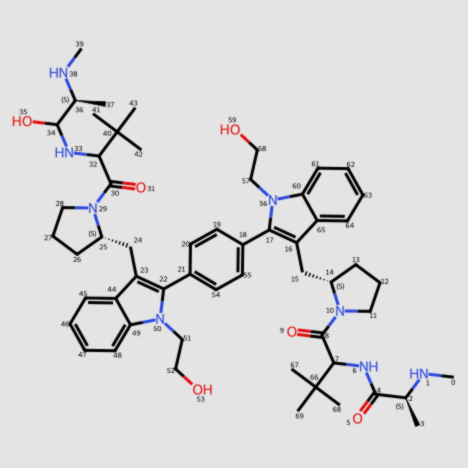 CN[C@@H](C)C(=O)NC(C(=O)N1CCC[C@H]1Cc1c(-c2ccc(-c3c(C[C@@H]4CCCN4C(=O)C(NC(O)[C@H](C)NC)C(C)(C)C)c4ccccc4n3CCO)cc2)n(CCO)c2ccccc12)C(C)(C)C